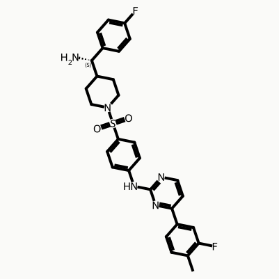 Cc1ccc(-c2ccnc(Nc3ccc(S(=O)(=O)N4CCC([C@H](N)c5ccc(F)cc5)CC4)cc3)n2)cc1F